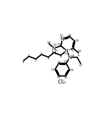 CCCCCCC[N+]1(N(CC)c2ccccc2)C(C)=CC=NC1NC.[Cl-]